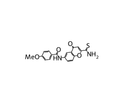 COc1ccc(C(=O)Nc2ccc3oc(C(N)=S)cc(=O)c3c2)cc1